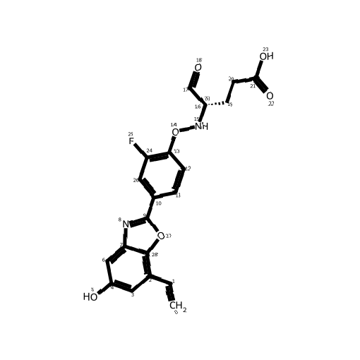 C=Cc1cc(O)cc2nc(-c3ccc(ON[C@H](C=O)CCC(=O)O)c(F)c3)oc12